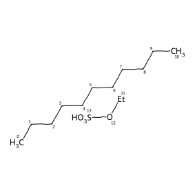 CCCCCCCCCCC.CCOS(=O)(=O)O